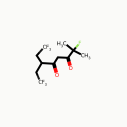 CC(C)(F)C(=O)CC(=O)C(CC(F)(F)F)CC(F)(F)F